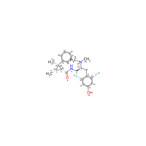 C[C@H]1[C@@H](C(=O)NC[C@H](Cc2c(F)cc(O)cc2F)N(C)C)[C@]1(C)c1ccccc1